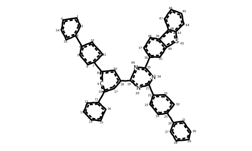 c1ccc(-c2ccc(-c3cc(-c4ccccc4)cc(-c4nc(-c5ccc(-c6ccccc6)cc5)nc(-c5ccc6c(c5)sc5ccccc56)n4)c3)cc2)cc1